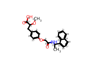 COC(Cc1ccc(OCC(=O)NC(C)c2cccc3ccccc23)cc1)C(=O)O